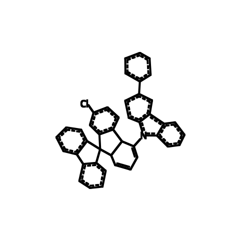 Clc1ccc2c(c1)C1(c3ccccc3-c3ccccc31)C1C=CC=C(n3c4ccccc4c4cc(-c5ccccc5)ccc43)C21